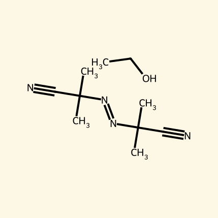 CC(C)(C#N)/N=N/C(C)(C)C#N.CCO